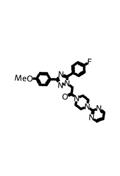 COc1ccc(-c2nc(-c3ccc(F)cc3)n(CC(=O)N3CCN(c4ncccn4)CC3)n2)cc1